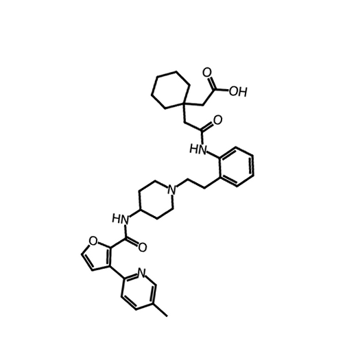 Cc1ccc(-c2ccoc2C(=O)NC2CCN(CCc3ccccc3NC(=O)CC3(CC(=O)O)CCCCC3)CC2)nc1